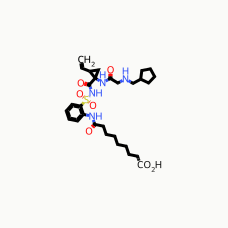 C=CC1CC1(NC(=O)CNCC1CCCC1)C(=O)NS(=O)(=O)c1ccccc1NC(=O)CCCCCCCC(=O)O